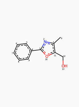 Cc1nc(-c2ccccc2)oc1CO